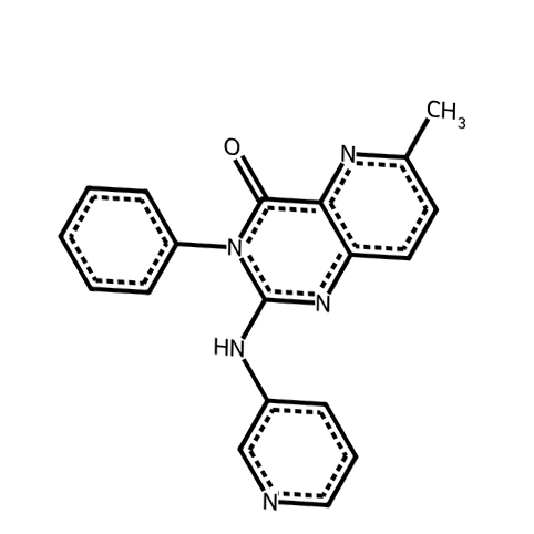 Cc1ccc2nc(Nc3cccnc3)n(-c3ccccc3)c(=O)c2n1